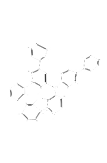 c1ccc(-c2ccc(N(c3cc(-c4ccccc4)cc(-c4ccccc4)c3)c3ccnc4c3oc3ccccc34)cc2)cc1